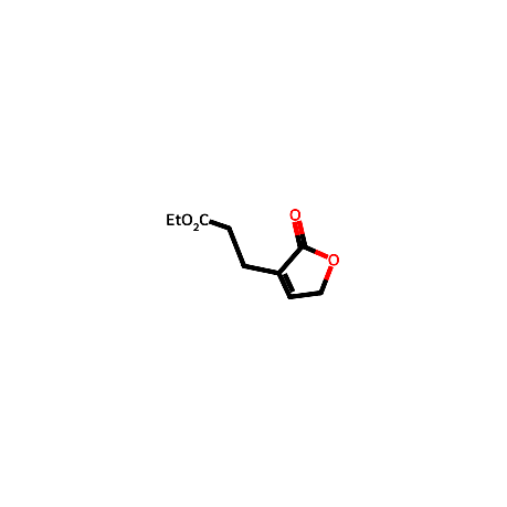 CCOC(=O)CCC1=CCOC1=O